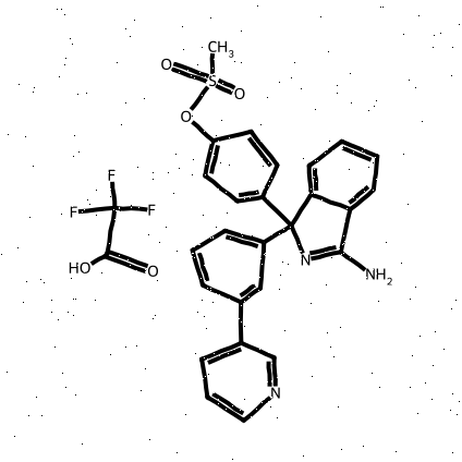 CS(=O)(=O)Oc1ccc(C2(c3cccc(-c4cccnc4)c3)N=C(N)c3ccccc32)cc1.O=C(O)C(F)(F)F